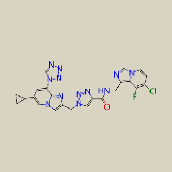 O=C(NCc1ncn2ccc(Cl)c(F)c12)c1cn(Cc2cn3cc(C4CC4)cc(-n4cnnn4)c3n2)nn1